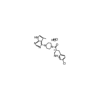 Cc1c[nH]c2ncnc(N3CCN(C(=O)[C@H](CN)Cc4ccc(Cl)cc4)CC3)c12.Cl.Cl